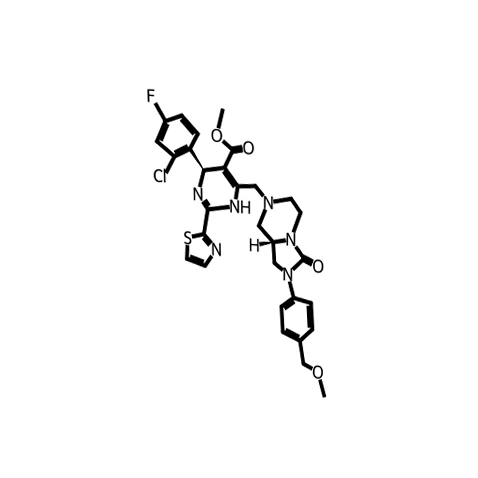 COCc1ccc(N2C[C@@H]3CN(CC4=C(C(=O)OC)[C@H](c5ccc(F)cc5Cl)N=C(c5nccs5)N4)CCN3C2=O)cc1